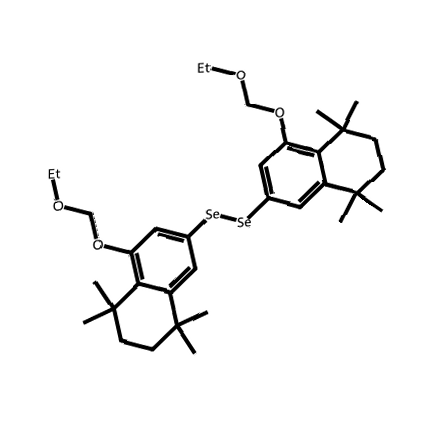 CCOCOc1cc([Se][Se]c2cc(OCOCC)c3c(c2)C(C)(C)CCC3(C)C)cc2c1C(C)(C)CCC2(C)C